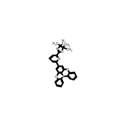 CC1(C)N=C(c2cccc(-c3cc4c5c(c3)Oc3ccccc3B5c3ccccc3O4)n2)OC1(C)C